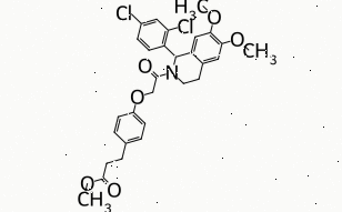 COC(=O)CCc1ccc(OCC(=O)N2CCc3cc(OC)c(OC)cc3C2c2ccc(Cl)cc2Cl)cc1